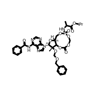 CC(C)OC(=O)C(C)NP1(=O)OCOC(=O)OC2[C@@H](CO1)O[C@@H](n1cnc3c(NC(=O)c4ccccc4)ncnc31)[C@@]2(C)OCOCc1ccccc1